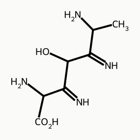 CC(N)C(=N)C(O)C(=N)C(N)C(=O)O